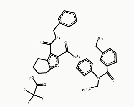 NC(=O)c1sc2c(c1C(=O)NCc1ccccc1)CCCC2.NCc1cccc(C(=O)N(CC(=O)O)c2ccccc2)c1.O=C(O)C(F)(F)F